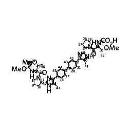 COC(=O)N[C@H](C(=O)N1CCC[C@H]1c1nc(-c2ccc(-c3ccc(-c4nc([C@@H]5CCCN5C(=O)[C@@H](NC(=O)O)[C@@H](C)OC)[nH]c4C)cc3)cc2)c(C)[nH]1)C(C)OC